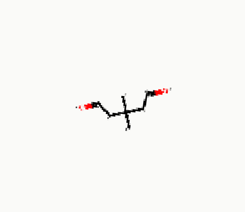 CC(C)(C[C]=O)C[C]=O